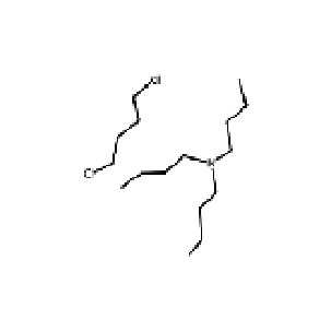 CCCCN(CCCC)CCCC.ClCCCCCl